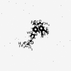 CN(C(=O)C(C)(C)N(C=S)c1ccc(OC2CN(C(=O)OC(C)(C)C)CC2O)c(F)c1)c1ccc(C#N)c(C(F)(F)F)c1